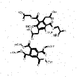 CCCCC(CC)COC(=O)c1c(CC(CC)CCCC)c(C(=O)OCC(CC)CCCC)c(C(=O)O)c(CC(CC)CCCC)c1C(=O)O.CCCCCCCCOC(=O)c1cc(C(=O)OCCCCCCCC)c(C(=O)OCCCCCCCC)cc1C(=O)OCCCCCCCC